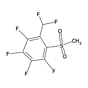 CS(=O)(=O)c1c(F)c(F)c(F)c(F)c1C(F)F